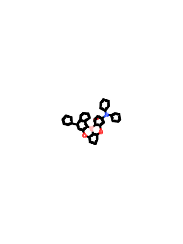 c1ccc(-c2cc3c(c4ccccc24)B2c4c(cccc4Oc4cc(N(c5ccccc5)c5ccccc5)c5ccccc5c42)O3)cc1